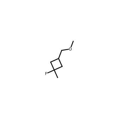 COCC1CC(C)(F)C1